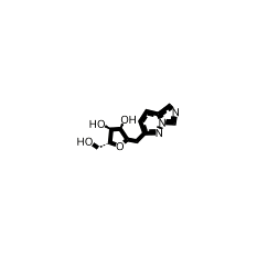 OC[C@H]1OC(Cc2ccc3cncn3n2)[C@H](O)[C@@H]1O